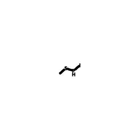 CSPI